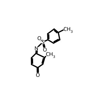 CC1=CC(=O)C=C/C1=N/S(=O)(=O)c1ccc(C)cc1